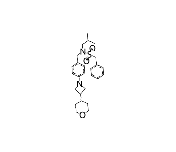 CC(C)CN(Cc1ccc(N2CC(C3CCOCC3)C2)cc1)S(=O)(=O)Cc1ccccc1